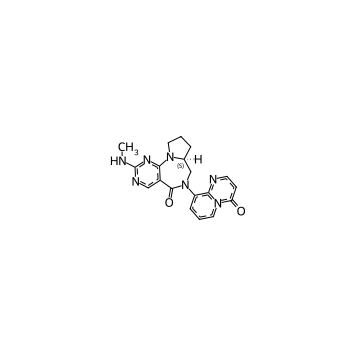 CNc1ncc2c(n1)N1CCC[C@H]1CN(c1cccn3c(=O)ccnc13)C2=O